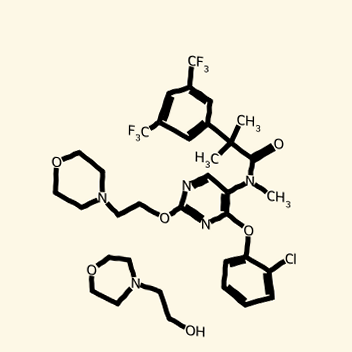 CN(C(=O)C(C)(C)c1cc(C(F)(F)F)cc(C(F)(F)F)c1)c1cnc(OCCN2CCOCC2)nc1Oc1ccccc1Cl.OCCN1CCOCC1